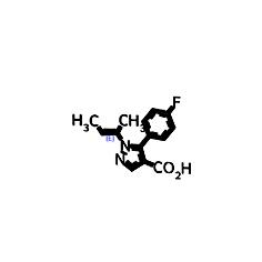 C/C=C(\C)n1ncc(C(=O)O)c1-c1ccc(F)cc1